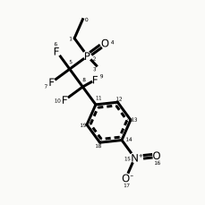 CCP(C)(=O)C(F)(F)C(F)(F)c1ccc([N+](=O)[O-])cc1